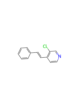 Clc1cnccc1C=Cc1ccccc1